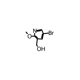 COc1ncc(Br)cc1CO